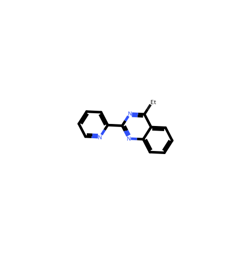 CCc1nc(-c2ccccn2)nc2ccccc12